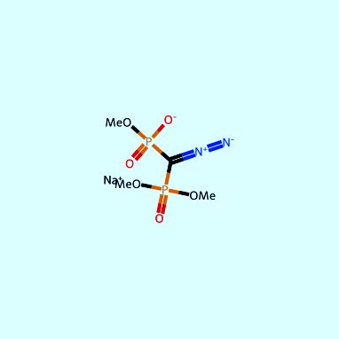 COP(=O)([O-])C(=[N+]=[N-])P(=O)(OC)OC.[Na+]